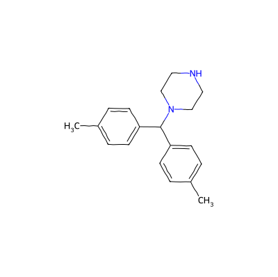 Cc1ccc(C(c2ccc(C)cc2)N2CCNCC2)cc1